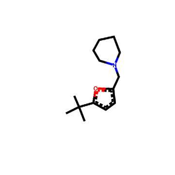 CC(C)(C)c1ccc(CN2CCCCC2)o1